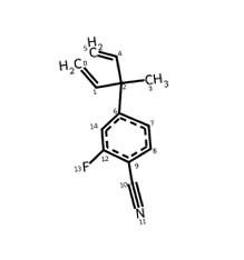 C=CC(C)(C=C)c1ccc(C#N)c(F)c1